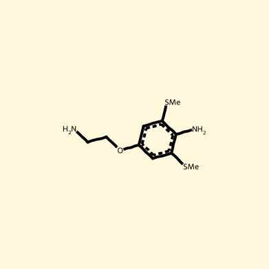 CSc1cc(OCCN)cc(SC)c1N